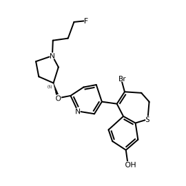 Oc1ccc2c(c1)SCCC(Br)=C2c1ccc(O[C@H]2CCN(CCCF)C2)nc1